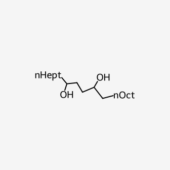 CCCCCCCCCC(O)CCC(O)CCCCCCC